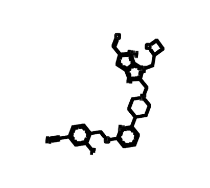 N#Cc1ccc(COc2cccc(C3CCN(Cc4nc5cc(C=O)[nH]c5n4CC4CCO4)CC3)n2)c(F)c1